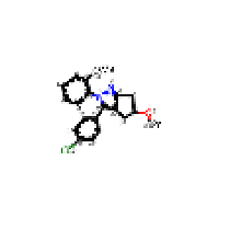 CCCO[C@@H]1Cc2nn(-c3ccccc3OC)c(-c3ccc(Cl)cc3)c2C1